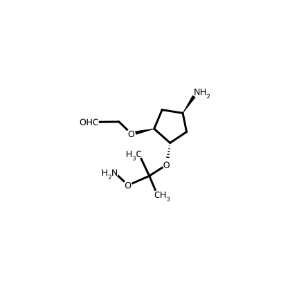 CC(C)(ON)O[C@H]1C[C@H](N)C[C@@H]1OCC=O